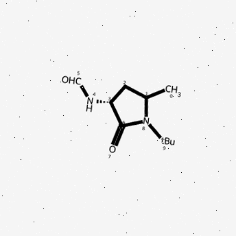 CC1C[C@@H](NC=O)C(=O)N1C(C)(C)C